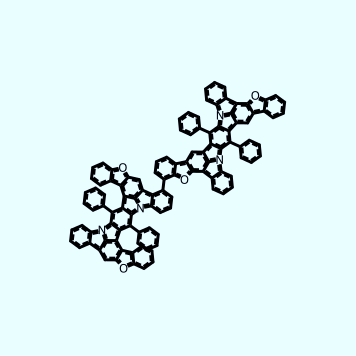 c1ccc(-c2c3c4cc5c6cccc(-c7cccc8c7c7cc9oc%10ccccc%10c9c9c%10c(-c%11ccccc%11)c%11c(c(-c%12ccccc%12)c%10n8c79)c7c8c(cc9c%10ccccc%10n%11c97)oc7ccccc78)c6oc5c5c6ccccc6n(c3c(-c3ccccc3)c3c6cc7c8ccccc8oc7c7c8ccccc8n(c23)c67)c45)cc1